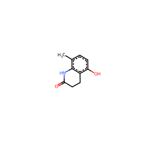 Cc1ccc(O)c2c1NC(=O)CC2